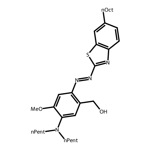 CCCCCCCCc1ccc2nc(N=Nc3cc(OC)c(N(CCCCC)CCCCC)cc3CO)sc2c1